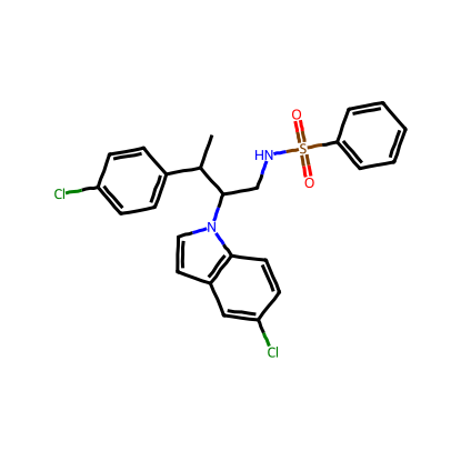 CC(c1ccc(Cl)cc1)C(CNS(=O)(=O)c1ccccc1)n1ccc2cc(Cl)ccc21